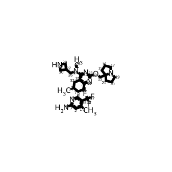 Cc1cc(N)nc([C@H]2Cc3nc(OCC45CCCN4CCC5)nc(N(C)CC4CNC4)c3C[C@@H]2C)c1C(F)(F)F